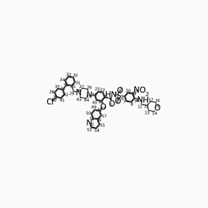 O=C(NS(=O)(=O)c1ccc(NCC2CCOCC2)c([N+](=O)[O-])c1)c1ccc(N2CCN(Cc3ccccc3-c3ccc(Cl)cc3)CC2)cc1Oc1ccc2ncccc2c1